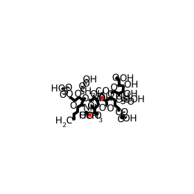 C=CCCC1OC(COS(=O)(=O)O)C(OSOOO)C(OC2OC(C(=O)O)C(OC3OC(COS(=O)(=O)O)C(OSOOO)C(OC4OC(C(=O)O)C(O)C(O)C4O)C3NC(C)=O)C(O)C2O)C1NC(C)=O